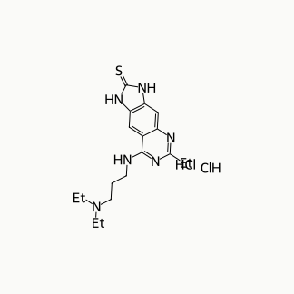 CCc1nc(NCCCN(CC)CC)c2cc3[nH]c(=S)[nH]c3cc2n1.Cl.Cl